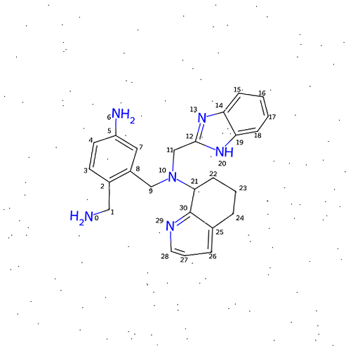 NCc1ccc(N)cc1CN(Cc1nc2ccccc2[nH]1)C1CCCc2cccnc21